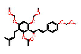 COCOc1ccc(C=CC(=O)c2c(OCOC)cc(OCOC)c(CC=C(C)C)c2OC(C)=O)cc1